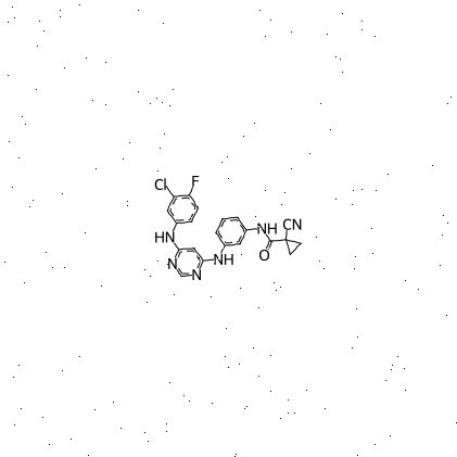 N#CC1(C(=O)Nc2cccc(Nc3cc(Nc4ccc(F)c(Cl)c4)ncn3)c2)CC1